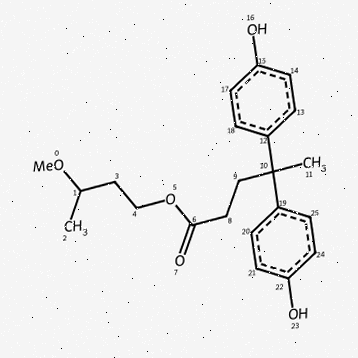 COC(C)CCOC(=O)CCC(C)(c1ccc(O)cc1)c1ccc(O)cc1